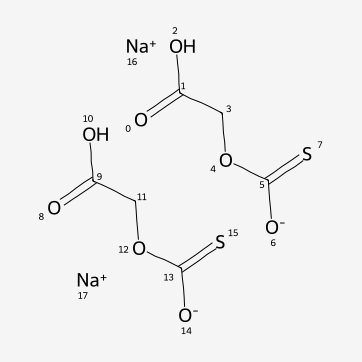 O=C(O)COC([O-])=S.O=C(O)COC([O-])=S.[Na+].[Na+]